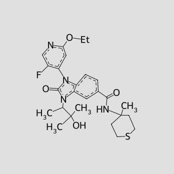 CCOc1cc(-n2c(=O)n(C(C)C(C)(C)O)c3cc(C(=O)NC4(C)CCSCC4)ccc32)c(F)cn1